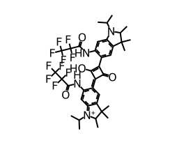 CC(C)N1c2cc(NC(=O)C(F)(F)C(F)(F)F)c(C3=C(O)/C(=c4/cc5c(cc4NC(=O)C(F)(F)C(F)(F)F)=[N+](C(C)C)C(C)C5(C)C)C3=O)cc2C(C)(C)C1C